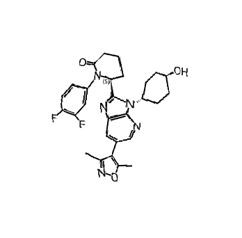 Cc1noc(C)c1-c1cnc2c(c1)nc([C@@H]1CCCC(=O)N1c1ccc(F)c(F)c1)n2[C@H]1CC[C@H](O)CC1